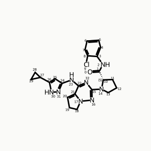 O=C(Nc1ccccc1Cl)[C@@H]1CCCN1C1=NN2CCC=C2C(Nc2cc(C3CC3)[nH]n2)=N1